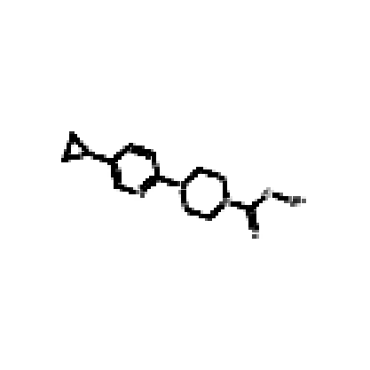 CC(C)(C)OC(=O)N1CCN(c2ccc(C3CC3)cn2)CC1